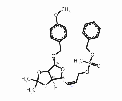 COc1ccc(CO[C@H]2O[C@H](/C=C\COP(C)(=O)OCc3ccccc3)[C@H]3OC(C)(C)OC23)cc1